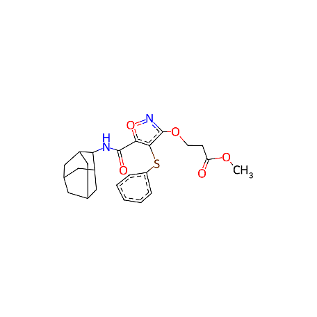 COC(=O)CCOc1noc(C(=O)NC2C3CC4CC(C3)CC2C4)c1Sc1ccccc1